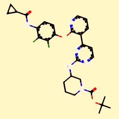 CC(C)(C)OC(=O)N1CCCC(Nc2nccc(-c3cccnc3Oc3ccc(NC(=O)C4CC4)c(F)c3F)n2)C1